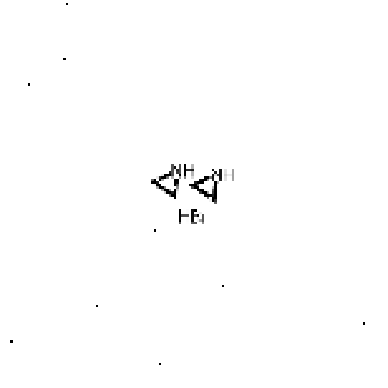 Br.C1CN1.C1CN1